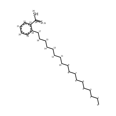 CCCCCCCCCCCCCCCCCCc1ccccc1C(=S)S